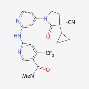 CNC(=O)c1cnc(Nc2cc(N3CC[C@@](C#N)(C4CC4)C3=O)ccn2)cc1C(F)(F)F